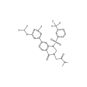 CN(C)C(=O)CN1CN(S(=O)(=O)c2cccc(C(F)(F)F)c2)c2cc(-c3cc(F)cc(OC(F)F)c3)ccc2C1=O